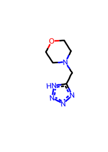 C1CN(Cc2nnn[nH]2)CCO1